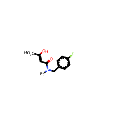 CCN(Cc1ccc(F)cc1)C(=O)C=C(O)C(=O)O